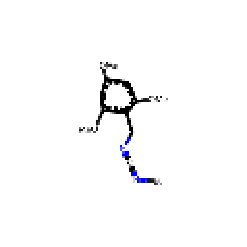 CCN=C=NCc1c(OC)cc(OC)cc1OC